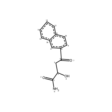 NC(=O)C(O)CC(=O)c1ccc2ccccc2c1